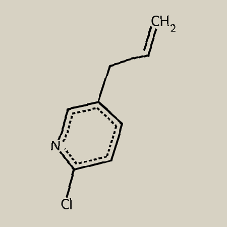 C=CCc1ccc(Cl)nc1